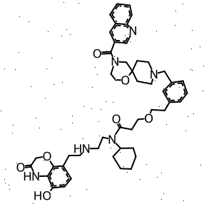 O=C1COc2c(CCNCCN(C(=O)CCOCCc3cccc(CN4CCC5(CC4)CN(C(=O)c4cnc6ccccc6c4)CCO5)c3)C3CCCCC3)ccc(O)c2N1